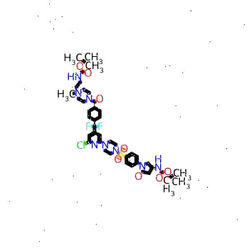 CC(C)(C)OC(=O)NCC[N+]1(C)CCN(C(=O)[C@H]2CC[C@H](C(F)(F)c3cc(Cl)nc(N4CCN(S(=O)(=O)c5ccc(N6C[C@H](NC(=O)OC(C)(C)C)CC6=O)cc5)CC4)c3)CC2)CC1